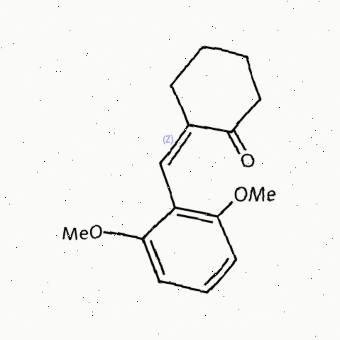 COc1cccc(OC)c1/C=C1/CCCCC1=O